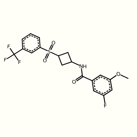 COc1cc(F)cc(C(=O)NC2CC(S(=O)(=O)c3cccc(C(F)(F)F)c3)C2)c1